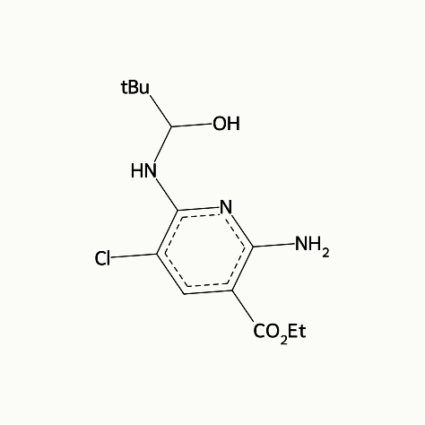 CCOC(=O)c1cc(Cl)c(NC(O)C(C)(C)C)nc1N